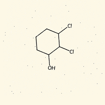 OC1CCCC(Cl)C1Cl